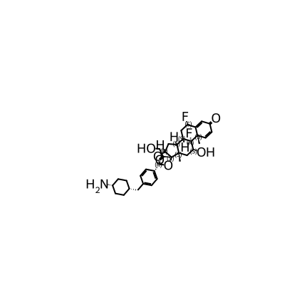 C[C@]12C=CC(=O)C=C1[C@@H](F)C[C@H]1[C@@H]3C[C@H]4O[C@@H](c5ccc(C[C@H]6CC[C@@H](N)CC6)cc5)O[C@@]4(C(=O)CO)[C@@]3(C)C[C@H](O)[C@@]12F